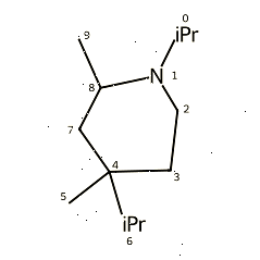 CC(C)N1CCC(C)(C(C)C)CC1C